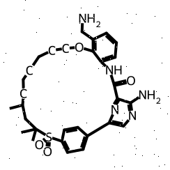 CC1CCCCCCOc2c(CN)cccc2NC(=O)c2nc(cnc2N)-c2ccc(cc2)S(=O)(=O)C(C)(C)C1